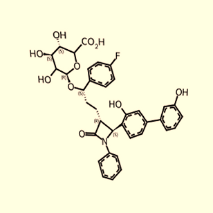 O=C(O)C1O[C@@H](O[C@@H](CC[C@H]2C(=O)N(c3ccccc3)[C@@H]2c2ccc(-c3cccc(O)c3)cc2O)c2ccc(F)cc2)C(O)[C@@H](O)[C@@H]1O